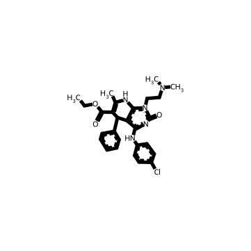 CCOC(=O)C1=C(C)Nc2c(c(Nc3ccc(Cl)cc3)nc(=O)n2CCN(C)C)C1c1ccccc1